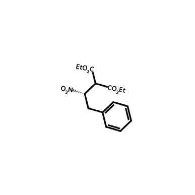 CCOC(=O)C(C(=O)OCC)[C@H](Cc1ccccc1)[N+](=O)[O-]